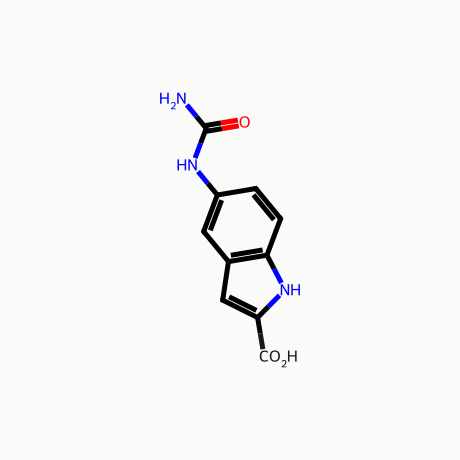 NC(=O)Nc1ccc2[nH]c(C(=O)O)cc2c1